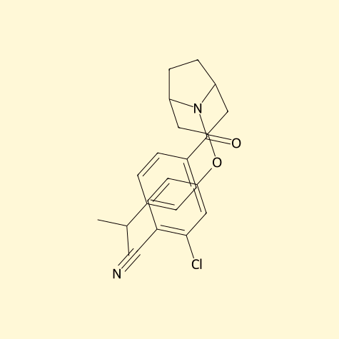 CC(C)c1ccc(C(=O)N2C3CCC2CC(Oc2ccc(C#N)c(Cl)c2)C3)cc1